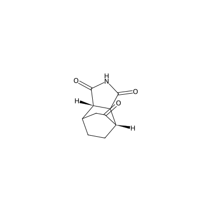 O=C1NC(=O)[C@H]2C3CC[C@H](C(=O)C3)C12